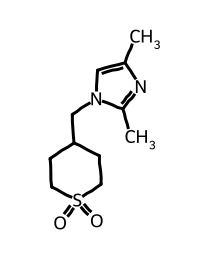 Cc1cn(CC2CCS(=O)(=O)CC2)c(C)n1